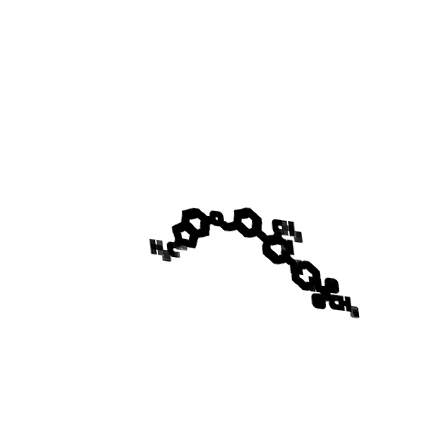 Cc1nc(N2CCN(S(C)(=O)=O)CC2)ccc1-c1cccc(COc2ccc3c(c2)C[C@H](C)C3)c1